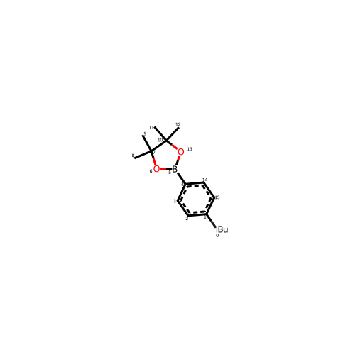 CCC(C)c1ccc(B2OC(C)(C)C(C)(C)O2)cc1